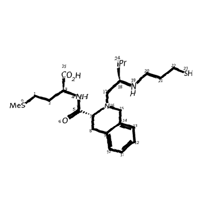 CSCC[C@H](NC(=O)[C@H]1Cc2ccccc2CN1C[C@H](NCCCS)C(C)C)C(=O)O